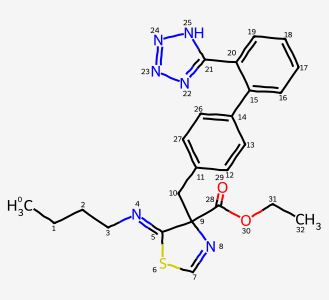 CCCCN=C1SC=NC1(Cc1ccc(-c2ccccc2-c2nnn[nH]2)cc1)C(=O)OCC